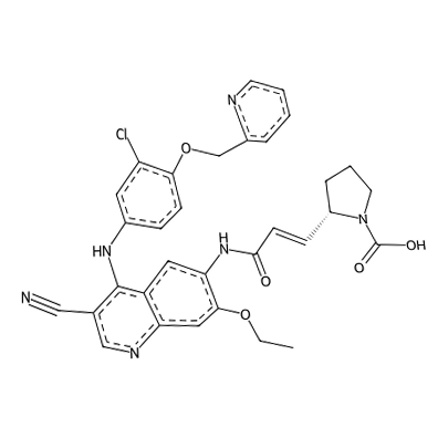 CCOc1cc2ncc(C#N)c(Nc3ccc(OCc4ccccn4)c(Cl)c3)c2cc1NC(=O)C=C[C@@H]1CCCN1C(=O)O